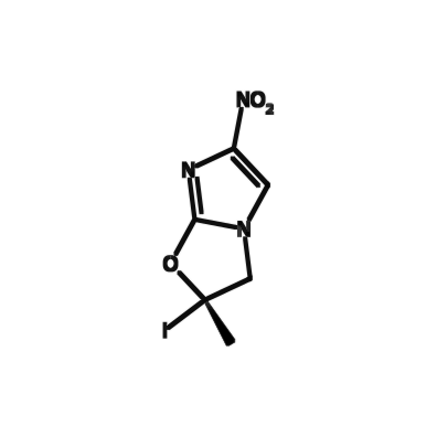 C[C@]1(I)Cn2cc([N+](=O)[O-])nc2O1